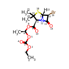 CCOC(=O)O[C@@H](C)OC(=O)[C@@H]1N2C(=O)[C@H](Br)[C@H]2SC1(C)C